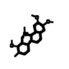 COc1cc2ccc3c4ccc(C)c(OC)c4c[n+](C)c3c2cc1OC